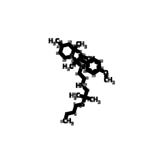 CCCCSC(C)(C)CNCCNC(C)(CC)N1CCC(C)CC1(C)SCc1ccc(OC)cc1